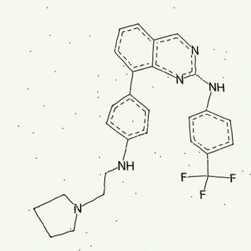 FC(F)(F)c1ccc(Nc2ncc3cccc(-c4ccc(NCCN5CCCC5)cc4)c3n2)cc1